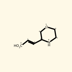 O=C(O)/C=C/C1COCCN1